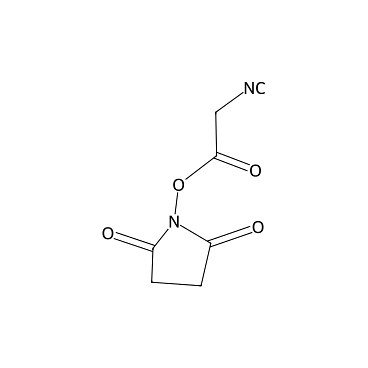 [C-]#[N+]CC(=O)ON1C(=O)CCC1=O